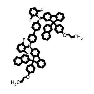 C=CCOc1ccc(C2(c3ccc4ccccc4c3)c3ccccc3-c3ccc(N(c4ccc(-c5ccc(N(c6ccc7c(c6)C(c6ccc(OCC=C)cc6)(c6ccc8ccccc8c6)c6ccccc6-7)c6c(F)cccc6F)cc5)cc4)c4c(F)cccc4F)cc32)cc1